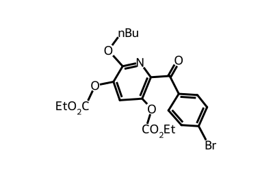 CCCCOc1nc(C(=O)c2ccc(Br)cc2)c(OC(=O)OCC)cc1OC(=O)OCC